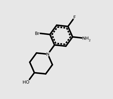 Nc1cc(N2CCC(O)CC2)c(Br)cc1F